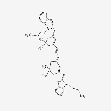 CCCCN1/C(=C/C2=CC(=C/C=C/C3=CC(=C/C4Sc5ccccc5N4CCCC)/CC(C)(C)C3)/CC(C)(C)C2)Sc2ccccc21